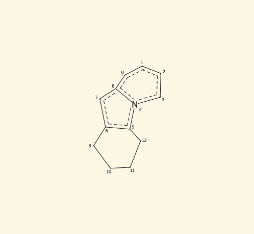 [c]1cccn2c3c(cc12)CCCC3